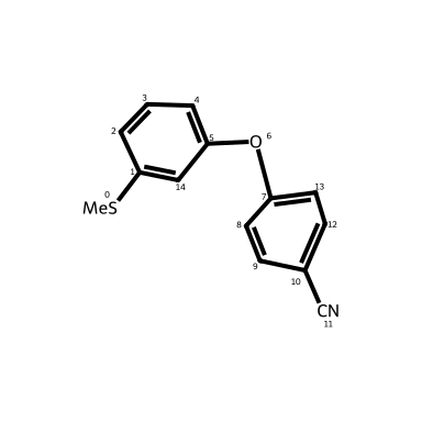 CSc1cccc(Oc2ccc(C#N)cc2)c1